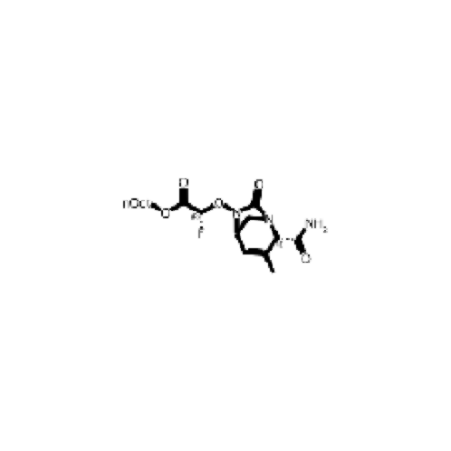 CCCCCCCCOC(=O)[C@@H](F)ON1C(=O)N2CC1C=C(C)[C@H]2C(N)=O